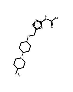 CC1CCN([C@H]2CC[C@H](OCc3csc(NC(=O)O)n3)CC2)CC1